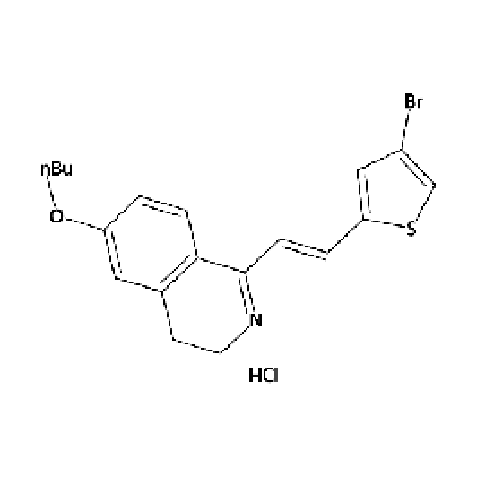 CCCCOc1ccc2c(c1)CCN=C2C=Cc1cc(Br)cs1.Cl